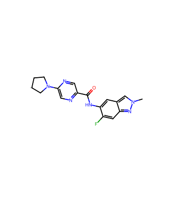 Cn1cc2cc(NC(=O)c3cnc(N4C[CH]CC4)cn3)c(F)cc2n1